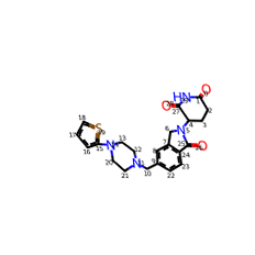 O=C1CCC(N2Cc3cc(CN4CCN(c5cccs5)CC4)ccc3C2=O)C(=O)N1